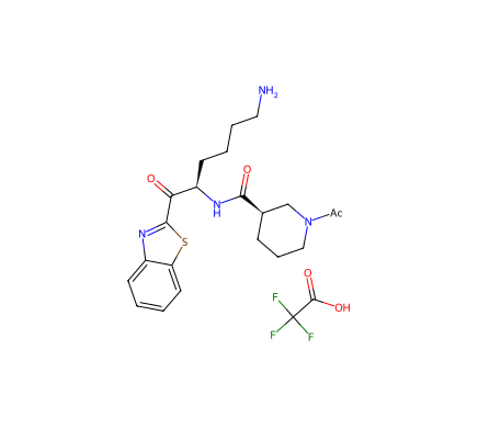 CC(=O)N1CCC[C@@H](C(=O)N[C@H](CCCCN)C(=O)c2nc3ccccc3s2)C1.O=C(O)C(F)(F)F